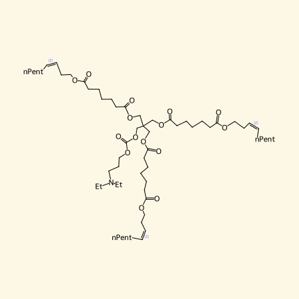 CCCCC/C=C\CCOC(=O)CCCCCC(=O)OCC(COC(=O)CCCCCC(=O)OCC/C=C\CCCCC)(COC(=O)CCCCCC(=O)OCC/C=C\CCCCC)COC(=O)OCCCN(CC)CC